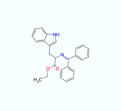 CCOC(=O)C(Cc1c[nH]c2ccccc12)N=C(c1ccccc1)c1ccccc1